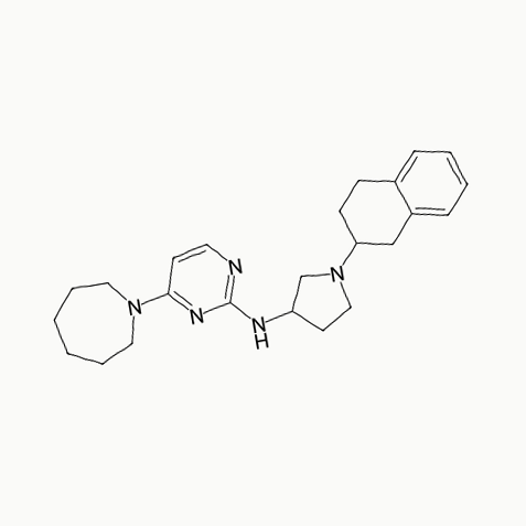 c1ccc2c(c1)CCC(N1CCC(Nc3nccc(N4CCCCCC4)n3)C1)C2